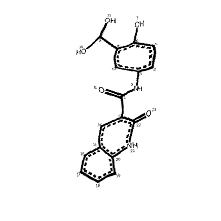 O=C(Nc1ccc(O)c(C(O)O)c1)c1cc2ccccc2[nH]c1=O